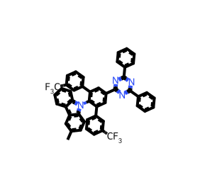 Cc1ccc2c(c1)c1ccccc1n2-c1c(-c2cccc(C(F)(F)F)c2)cc(-c2nc(-c3ccccc3)nc(-c3ccccc3)n2)cc1-c1cccc(C(F)(F)F)c1